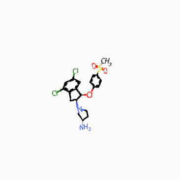 CS(=O)(=O)c1ccc(O[C@@H]2c3cc(Cl)cc(Cl)c3C[C@@H]2N2CC[C@H](N)C2)cc1